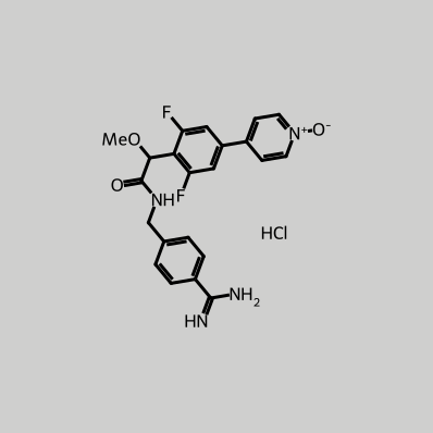 COC(C(=O)NCc1ccc(C(=N)N)cc1)c1c(F)cc(-c2cc[n+]([O-])cc2)cc1F.Cl